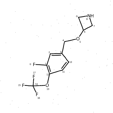 Fc1cc(COC2CNC2)ccc1OC(F)(F)F